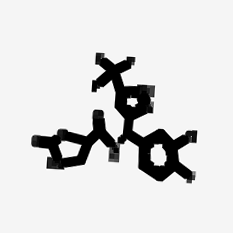 O=C1NCC(C(=O)N[C@@H](c2ccc(F)c(Cl)c2)c2cc(C(F)(F)F)[nH]n2)O1